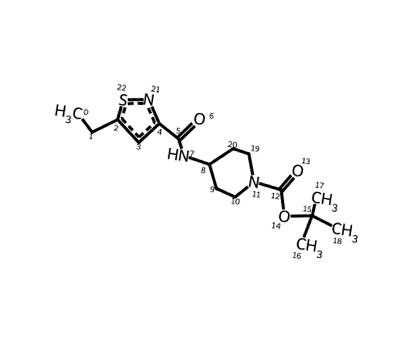 CCc1cc(C(=O)NC2CCN(C(=O)OC(C)(C)C)CC2)ns1